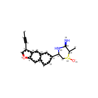 CC#Cc1coc2cc3ccc(C4C[S+]([O-])C(C)C(=N)N4)cc3cc12